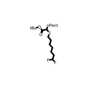 CCCCCC(SCCCCCCC(F)F)C(=O)OC(C)(C)C